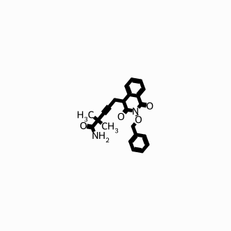 CC(C)(C#CCC1C(=O)N(OCc2ccccc2)C(=O)c2ccccc21)C(N)=O